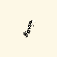 CN1CCN(Cc2ccc(CC(=O)N3CCc4c3ccc(-c3cn(C5CC5)c5ncnc(N)c35)c4F)cc2C(F)(F)F)CC1